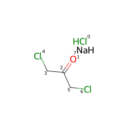 Cl.O=C(CCl)CCl.[NaH]